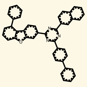 c1ccc(-c2ccc(-c3nc(-c4ccc5ccccc5c4)nc(-c4ccc5c(c4)oc4cccc(-c6ccccc6)c45)n3)cc2)cc1